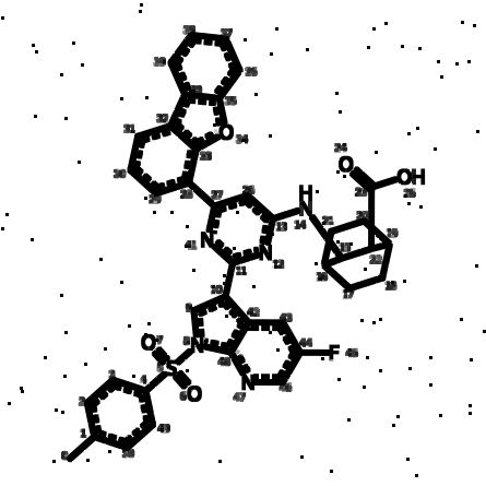 Cc1ccc(S(=O)(=O)n2cc(-c3nc(NC4C5CCC(CC5)C4C(=O)O)cc(-c4cccc5c4oc4ccccc45)n3)c3cc(F)cnc32)cc1